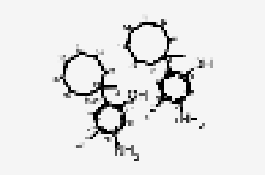 CC1(c2cc(F)c(N)cc2O)CCCCCCC1.CC1(c2cc(F)c(N)cc2O)CCCCCCC1